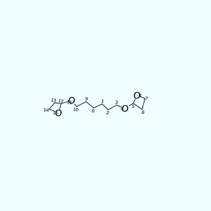 C(CCCOC1CCO1)CCOC1CCO1